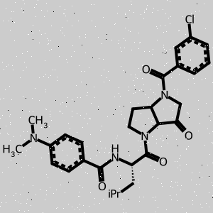 CC(C)C[C@H](NC(=O)c1ccc(N(C)C)cc1)C(=O)N1CCC2C1C(=O)CN2C(=O)c1cccc(Cl)c1